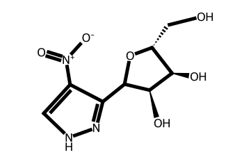 O=[N+]([O-])c1c[nH]nc1C1O[C@H](CO)[C@@H](O)[C@H]1O